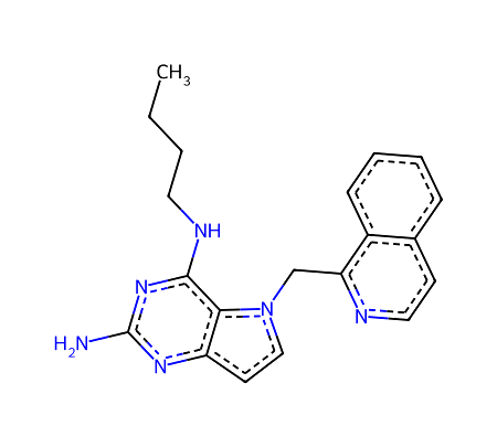 CCCCNc1nc(N)nc2ccn(Cc3nccc4ccccc34)c12